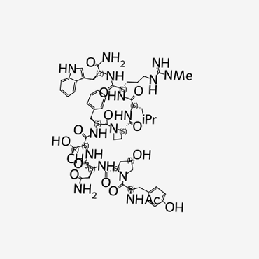 CNC(=N)NCCC[C@H](NC(=O)[C@H](CC(C)C)NC(=O)[C@@H]1CCN1C(=O)[C@H](Cc1ccccc1)NC(=O)[C@@H](NC(=O)[C@H](CC(N)=O)NC(=O)[C@@H]1C[C@@H](O)CN1C(=O)[C@@H](Cc1ccc(O)cc1)NC(C)=O)[C@@H](C)O)C(=O)N[C@@H](Cc1c[nH]c2ccccc12)C(N)=O